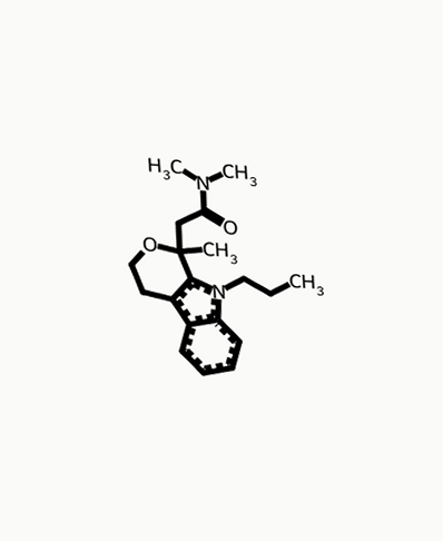 CCCn1c2c(c3ccccc31)CCOC2(C)CC(=O)N(C)C